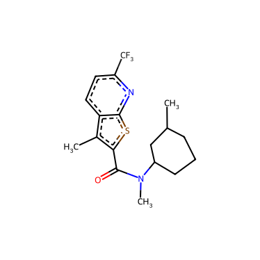 Cc1c(C(=O)N(C)C2CCCC(C)C2)sc2nc(C(F)(F)F)ccc12